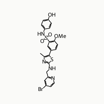 COc1ccc(-c2sc(NCc3cc(Br)ccn3)nc2C)cc1S(=O)(=O)Nc1ccc(O)cc1